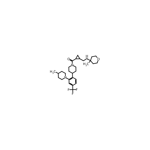 CC1CCN(c2cc(C(F)(F)F)ccc2C2CCN(C(=O)C3CC3CNC3(C)CCOCC3)CC2)CC1